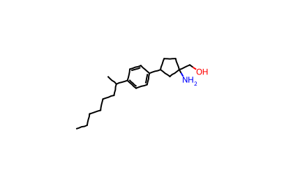 CCCCCCC(C)c1ccc(C2CCC(N)(CO)C2)cc1